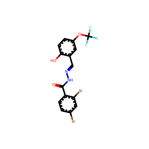 O=C(NN=Cc1cc(OC(F)(F)F)ccc1O)c1ccc(Br)cc1Br